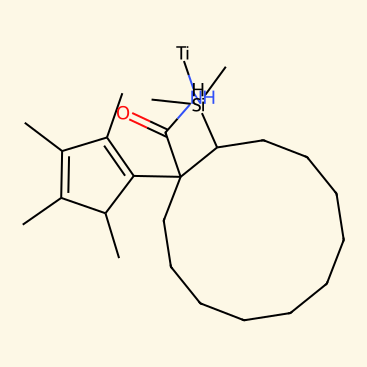 CC1=C(C)C(C)C(C2(C(=O)[NH][Ti])CCCCCCCCCCC2[SiH](C)C)=C1C